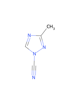 Cc1ncn(C#N)n1